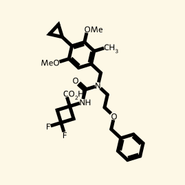 COc1cc(CN(CCOCc2ccccc2)C(=O)NC2(C(=O)O)CC(F)(F)C2)c(C)c(OC)c1C1CC1